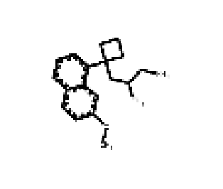 COc1ccc2cccc(C3(CC(C)CN)CCC3)c2c1